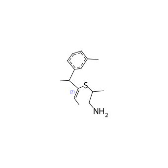 C/C=C(\SC(C)CN)C(C)c1cccc(C)c1